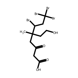 CC(CCO)(CC(=O)CC(=O)O)C(Br)CC(Br)(Br)Br